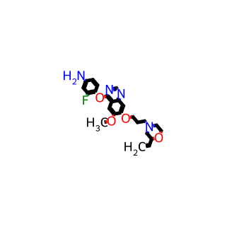 C=CC1CN(CCCOc2cc3ncnc(Oc4ccc(N)cc4F)c3cc2OC)CCO1